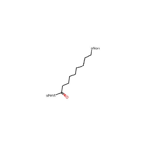 CCCCCCCCCCCCCCCCCC(=O)CCCCC